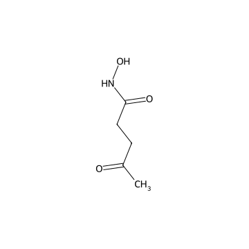 CC(=O)CCC(=O)NO